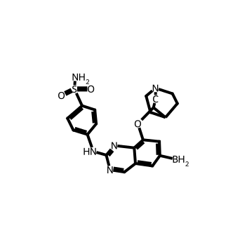 Bc1cc(OC2CN3CCC2CC3)c2nc(Nc3ccc(S(N)(=O)=O)cc3)ncc2c1